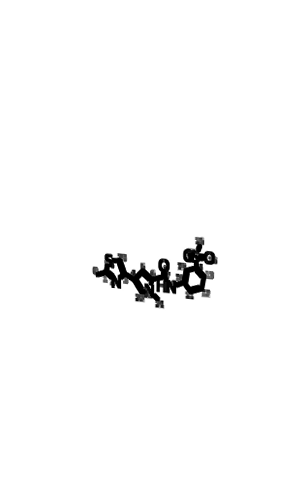 Cc1nc(-c2cc(C(=O)Nc3cccc(S(C)(=O)=O)c3)n(C)c2)cs1